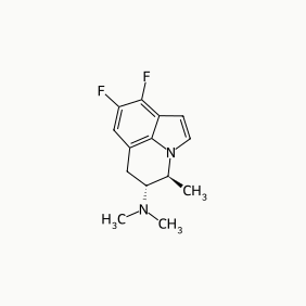 C[C@H]1[C@H](N(C)C)Cc2cc(F)c(F)c3ccn1c23